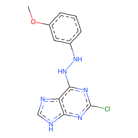 COc1cccc(NNc2nc(Cl)nc3[nH]cnc23)c1